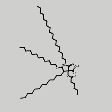 CCCCCCCCCCCCCCCCCCOC(=O)C(OC(=O)CCCCC)(C(=O)O)C(CCCCCCCCCCCC)C(=O)OCCCCCCCCCCCC